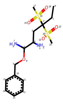 CCC(CC(N)C(N)OCc1ccccc1)(S(C)(=O)=O)S(C)(=O)=O